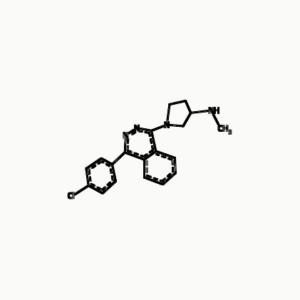 CNC1CCN(c2nnc(-c3ccc(Cl)cc3)c3ccccc23)C1